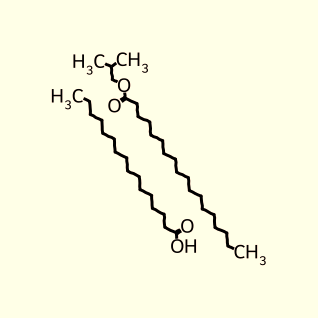 CCCCCCCCCCCCCCCC(=O)O.CCCCCCCCCCCCCCCCCC(=O)OCC(C)C